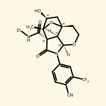 CCNC(=O)[C@]12C(=O)N(c3ccc(C#N)c(C(F)(F)F)c3)[C@@H]3OCC[C@@]4(C[C@H](O)[C@]1(C)O4)[C@@H]32